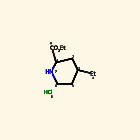 CCOC(=O)C1CC(CC)CCN1.Cl